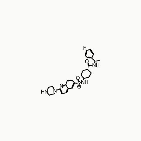 C[C@@H](NC(=O)[C@H]1CC[C@H](NS(=O)(=O)c2ccc3nc(N4CCNCC4)ccc3c2)CC1)c1ccc(F)cc1